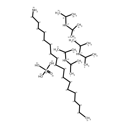 CC(C)NC(C)C.CC(C)NC(C)C.CC(C)NC(C)C.CCCCCCCCCCCCCCCCCCN.O=P(O)(O)O